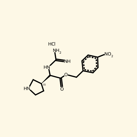 Cl.N=C(N)NC(C(=O)OCc1ccc([N+](=O)[O-])cc1)[C@H]1CCNC1